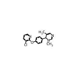 CC1=CN=CN(C)C1c1ccc(Oc2ncccc2Cl)cc1